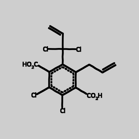 C=CCc1c(C(=O)O)c(Cl)c(Cl)c(C(=O)O)c1C(Cl)(Cl)C=C